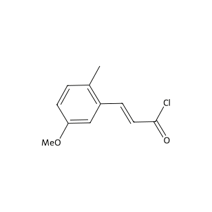 COc1ccc(C)c(/C=C/C(=O)Cl)c1